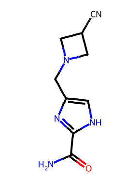 N#CC1CN(Cc2c[nH]c(C(N)=O)n2)C1